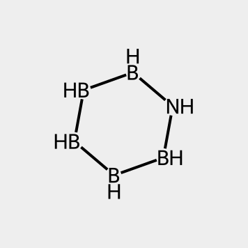 B1BBNBB1